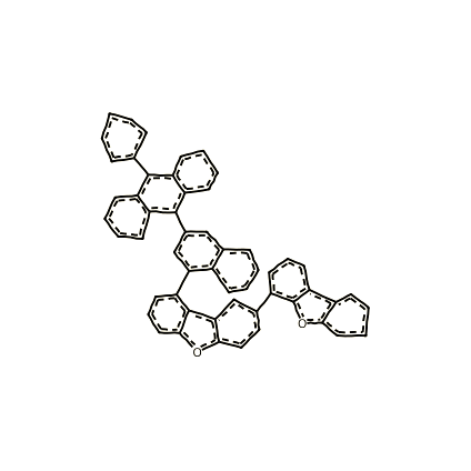 c1ccc(-c2c3ccccc3c(-c3cc(-c4cccc5oc6ccc(-c7cccc8c7oc7ccccc78)cc6c45)c4ccccc4c3)c3ccccc23)cc1